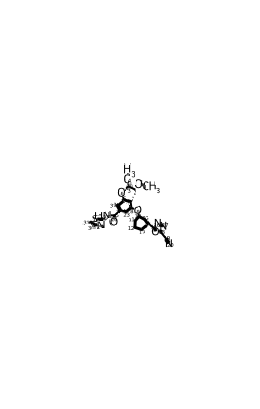 COC[C@@H](C)Oc1cc(Oc2cccc(-c3nnc(C#N)o3)c2)cc(C(=O)Nc2nccs2)c1